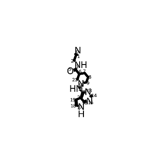 N#CCNC(=O)C1CCCN(Nc2ncnc3[nH]ccc23)C1